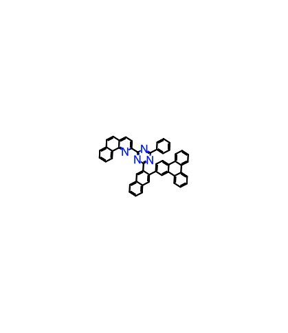 c1ccc(-c2nc(-c3ccc4ccc5ccccc5c4n3)nc(-c3cc4ccccc4cc3-c3ccc4c5ccccc5c5ccccc5c4c3)n2)cc1